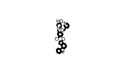 OC1CCN(Cc2cc(Cl)c(O[C@H]3CCc4c(-c5ccccc5F)cccc43)cc2OCc2cccnc2)CC1